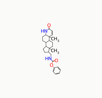 CC12C=CC(=O)NC1CCC1C2CCC2(C)C(CNC(=O)Oc3ccccc3)CCC12